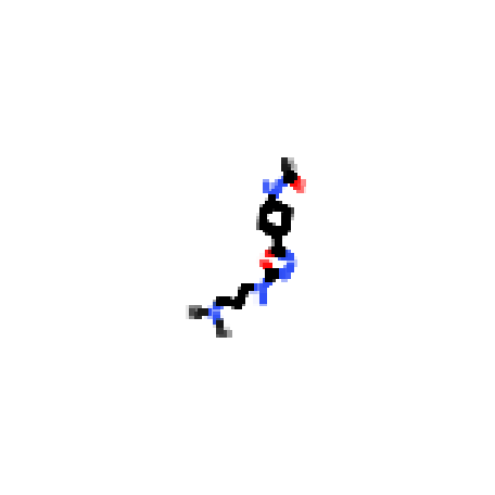 CCC(=O)Nc1ccc(-c2nnc(NCCCN(CC)CC)o2)cc1